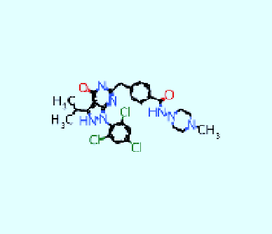 CC(C)c1[nH]n(-c2c(Cl)cc(Cl)cc2Cl)c2nc(Cc3ccc(C(=O)NN4CCN(C)CC4)cc3)nc(=O)c1-2